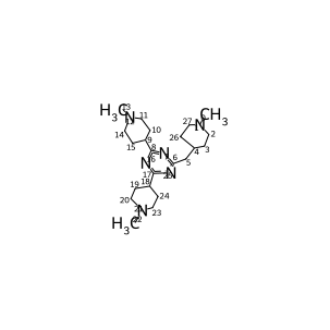 CN1CCC(Cc2nc(C3CCN(C)CC3)nc(C3CCN(C)CC3)n2)CC1